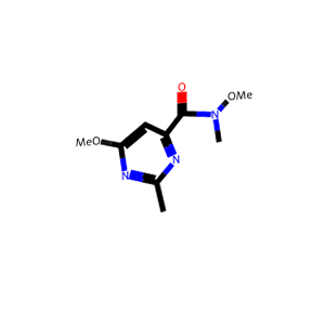 COc1cc(C(=O)N(C)OC)nc(C)n1